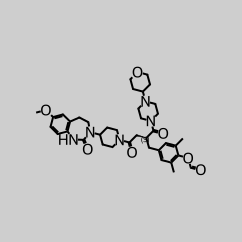 COc1ccc2c(c1)CCN(C1CCN(C(=O)C[C@H](Cc3cc(C)c(OC=O)c(C)c3)C(=O)N3CCN(C4CCOCC4)CC3)CC1)C(=O)N2